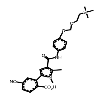 Cc1c(C(=O)Nc2ccc(OCOCC[Si](C)(C)C)cc2)cc(-c2cc(C#N)ccc2C(=O)O)n1C